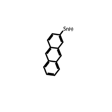 [SnH][c]1ccc2cc3ccccc3cc2c1